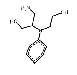 NCC(CO)N(CCO)c1ccccc1